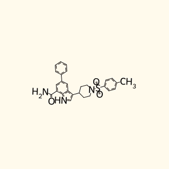 Cc1ccc(S(=O)(=O)N2CCC(c3c[nH]c4c(C(N)=O)cc(-c5ccccc5)cc34)CC2)cc1